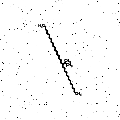 CCCC=CCCCCCCCCCCCCCCC(CCCCCCCCCCCCCC)=C(C)C